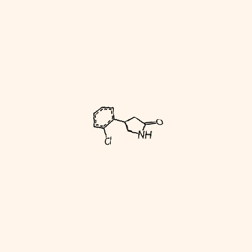 O=C1CC(c2ccccc2Cl)CN1